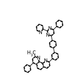 Cc1cc(-c2ccccc2)c2ccc3ccc(-c4cccc(-c5ccc(-c6cc(-c7ccccc7)nc(-c7ccccn7)n6)cc5)c4)nc3c2n1